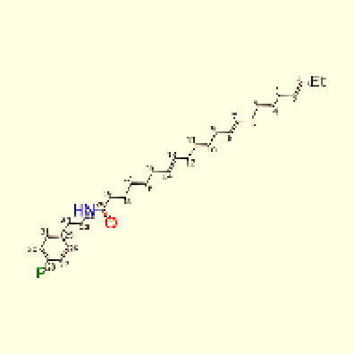 CCC=CCC=CCC=CCC=CCC=CCC=CCCC(=O)NCCc1ccc(F)cc1